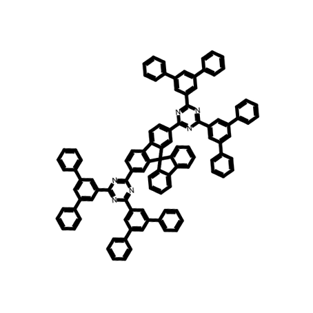 c1ccc(-c2cc(-c3ccccc3)cc(-c3nc(-c4cc(-c5ccccc5)cc(-c5ccccc5)c4)nc(-c4ccc5c(c4)C4(c6ccccc6-c6ccccc64)c4cc(-c6nc(-c7cc(-c8ccccc8)cc(-c8ccccc8)c7)nc(-c7cc(-c8ccccc8)cc(-c8ccccc8)c7)n6)ccc4-5)n3)c2)cc1